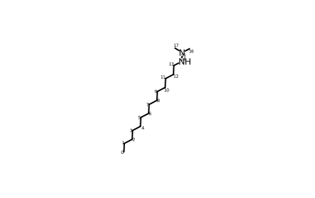 CCCCCCCCCCCCCCNN(C)C